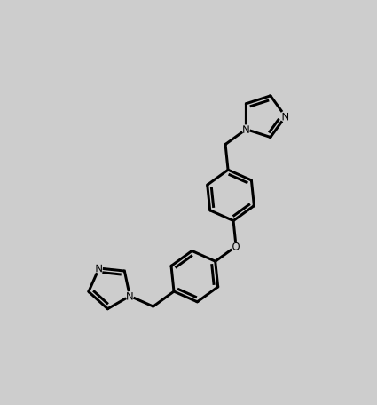 c1cn(Cc2ccc(Oc3ccc(Cn4ccnc4)cc3)cc2)cn1